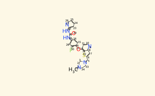 CN1CCN(Cc2cc3nccc(Oc4ccc(NC(=O)Nc5ccccn5)cc4F)c3s2)CC1